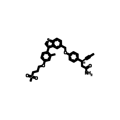 CC#C[C@@H](CC(N)=O)c1ccc(OCc2ccc3scc(-c4ccc(OCCCS(C)(=O)=O)cc4C)c3c2)cc1